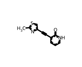 Cc1nc(C#Cc2ccc[nH]c2=O)cs1